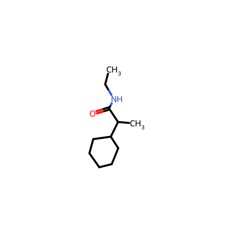 CCNC(=O)C(C)C1CCCCC1